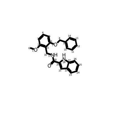 COc1cccc(OCc2ccccc2)c1CNC(=O)c1cc2ccccc2[nH]1